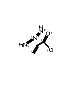 C=CC(=O)Cl.N=[N+]=N